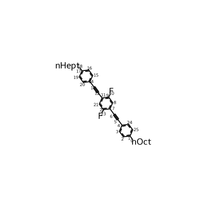 CCCCCCCCc1ccc(C#Cc2cc(F)c(C#Cc3ccc(CCCCCCC)cc3)cc2F)cc1